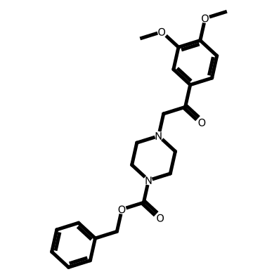 COc1ccc(C(=O)CN2CCN(C(=O)OCc3ccccc3)CC2)cc1OC